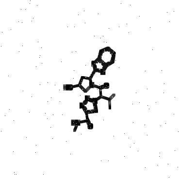 CNC(=O)c1cn(C(C(=O)N2CC(O)CC2c2nc3ccccc3s2)C(C)C)nn1